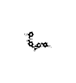 O=C(NCC1CC=CC=C1C(F)(F)F)C1C=CC(CN2CC3(CCN(Cc4ccc(C(F)(F)F)cc4)CC3)OC2=O)=CC1